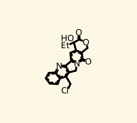 CCC1(O)C(=O)OCc2c1cc1n(c2=O)Cc2c-1nc1ccccc1c2CCl